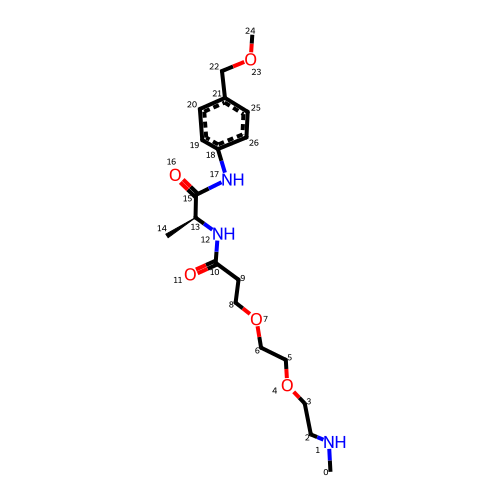 CNCCOCCOCCC(=O)N[C@@H](C)C(=O)Nc1ccc(COC)cc1